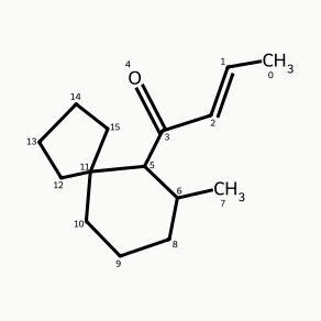 CC=CC(=O)C1C(C)CCCC12CCCC2